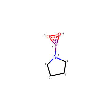 C1CCN(p2oo2)C1